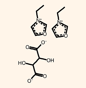 CC[n+]1ccoc1.CC[n+]1ccoc1.O=C([O-])C(O)C(O)C(=O)[O-]